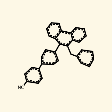 N#Cc1ccc(-c2ccc(-c3c(Cc4ccccc4)c4ccccc4c4ccccc34)cc2)cc1